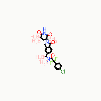 BC(c1ccc2c(c1)CN([C@@]1(B)CC(B)(B)C(=O)NC1=O)C2=O)N(B)C(=O)C(F)(F)c1ccc(Cl)cc1